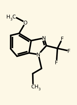 CCCn1c(C(F)(F)F)nc2c(OC)cccc21